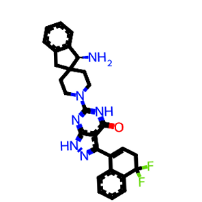 N[C@@H]1c2ccccc2CC12CCN(c1nc3[nH]nc(C4=CCC(F)(F)c5ccccc54)c3c(=O)[nH]1)CC2